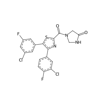 O=C1CN(C(=O)c2nc(-c3ccc(F)c(Cl)c3)c(-c3cc(F)cc(Cl)c3)s2)CN1